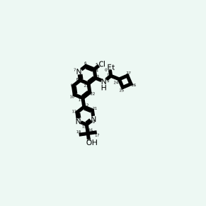 CCC(Nc1c(Cl)cnc2ccc(-c3cnc(C(C)(C)O)nc3)cc12)C1CCC1